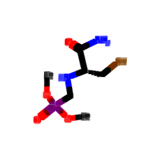 CCOP(=O)(CN[C@@H](CS)C(N)=O)OCC